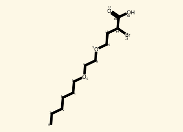 CCCCCCOCCOCCC(Br)C(=O)O